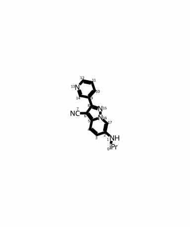 CC(C)Nc1ccc2c(C#N)c(-c3cccnc3)nn2c1